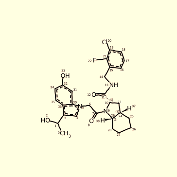 CC(O)c1cn(CC(=O)N2[C@H](C(=O)NCc3cccc(Cl)c3F)C[C@@H]3CCCC[C@@H]32)c2cc(O)ccc12